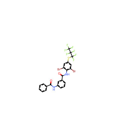 O=C(Nc1cccc(C(=O)Nc2c(Br)cc(SC(F)(F)C(F)(F)C(F)(F)F)cc2Br)c1)c1ccccc1